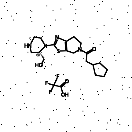 O=C(CC1CCCC1)N1CCc2nc(N3CCNC[C@H]3CO)sc2C1.O=C(O)C(F)(F)F